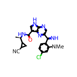 CNc1cc(Cl)ccc1C(=N)c1cnc2[nH]cc(C(=O)N[C@H](C)C3CC3C#N)c2n1